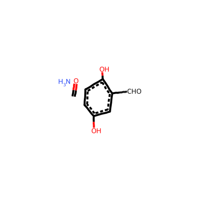 C=O.N.O=Cc1cc(O)ccc1O